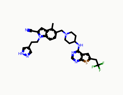 Cc1c(CN2CCC(Nc3ncnc4sc(CC(F)(F)F)cc34)CC2)ccc2c1cc(C#N)n2CCc1cn[nH]c1